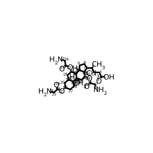 CC(CCC(=O)O)C1CC[C@H]2[C@@H]3[C@H](OC(=O)CN)CC4C[C@H](OC(=O)CN)CC[C@]4(C)[C@H]3C[C@H](OC(=O)CN)[C@]12C